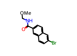 COCNC(=O)c1ccc2cc(Br)ccc2c1